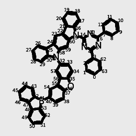 c1ccc(-c2nc(-c3ccccc3)nc(-n3c4ccccc4c4cc5c6ccccc6n(-c6ccc7oc8ccc(B9c%10ccccc%10-c%10ccccc%109)cc8c7c6)c5cc43)n2)cc1